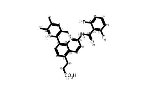 Cc1cc(C)c(-c2ccc(CCC(=O)O)c3ccc(NC(=O)c4c(F)cccc4F)nc23)nc1C